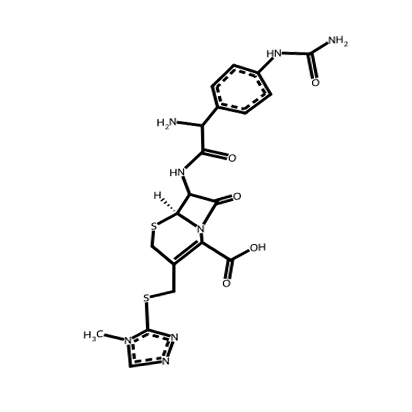 Cn1cnnc1SCC1=C(C(=O)O)N2C(=O)C(NC(=O)C(N)c3ccc(NC(N)=O)cc3)[C@@H]2SC1